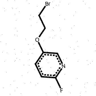 Fc1ccc(OCCBr)cn1